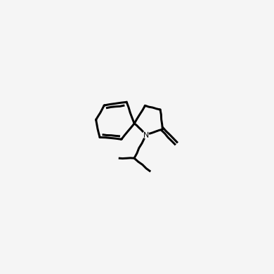 C=C1CCC2(C=CCC=C2)N1C(C)C